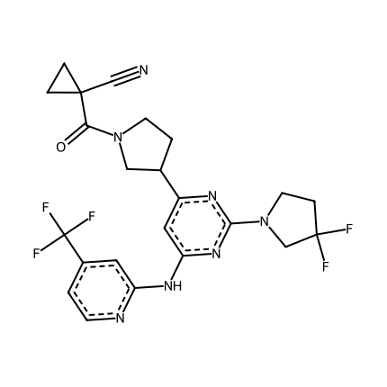 N#CC1(C(=O)N2CCC(c3cc(Nc4cc(C(F)(F)F)ccn4)nc(N4CCC(F)(F)C4)n3)C2)CC1